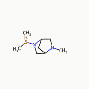 CN1CC2CC1CN2[SH](C)C